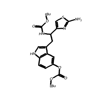 CC(C)(C)OC(=O)NC(Cc1c[nH]c2ccc(OC(=O)OC(C)(C)C)cc12)c1csc(N)n1